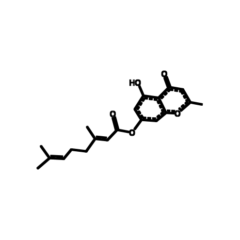 CC(C)=CCC/C(C)=C/C(=O)Oc1cc(O)c2c(=O)cc(C)oc2c1